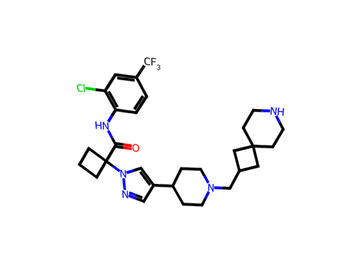 O=C(Nc1ccc(C(F)(F)F)cc1Cl)C1(n2cc(C3CCN(CC4CC5(CCNCC5)C4)CC3)cn2)CCC1